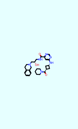 O=C(NC[C@H](O)CN1CCc2ccccc2C1)c1cc(N[C@H]2C[C@H](C(=O)N3CCCCC3)C2)ncn1